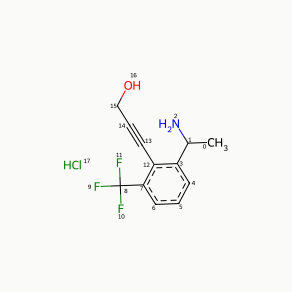 CC(N)c1cccc(C(F)(F)F)c1C#CCO.Cl